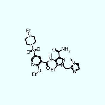 CCOc1ncc(S(=O)(=O)N2CCN(CC)CC2)cc1C(=O)Nc1c(C(N)=O)nn(Cc2nccn2C)c1CC